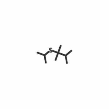 CC(C)SC(C)(C)C(C)C